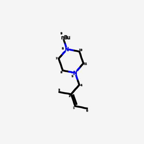 C/C=C(/C)CN1CCN(CCCC)CC1